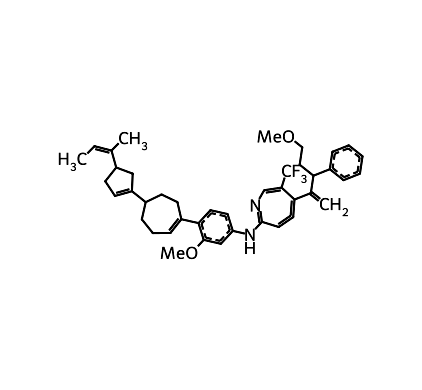 C=C(C1=C=CC(Nc2ccc(C3=CCCC(C4=CCC(/C(C)=C\C)C4)CC3)c(OC)c2)=NC=C1C(F)(F)F)C(CCOC)c1ccccc1